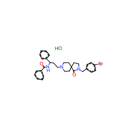 Cl.O=C(NC(CCN1CCC2(CC1)CCN(Cc1ccc(Br)cc1)C2=O)c1ccccc1)c1ccccc1